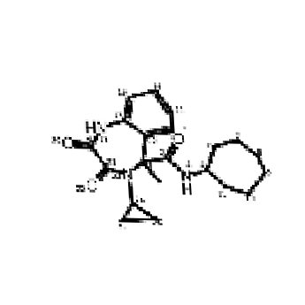 CC1(C(=O)NC2CCCCCC2)c2ccccc2NC(=O)C(=O)N1C1CC1